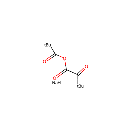 CC(C)(C)C(=O)OC(=O)C(=O)C(C)(C)C.[NaH]